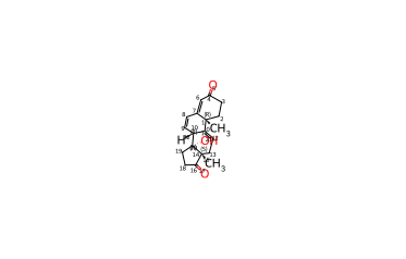 C[C@]12CCC(=O)C=C1C=C[C@@H]1C2=CC[C@]2(C)C(=O)CC[C@@]12O